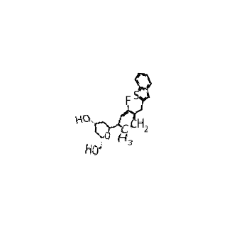 C=C(Cc1cc2ccccc2s1)/C(F)=C\C(C)C1C[C@@H](O)C[C@@H](CO)O1